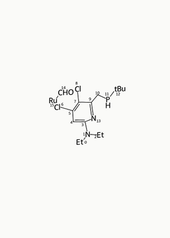 CCN(CC)c1cc(Cl)c(Cl)c(CPC(C)(C)C)n1.O=[CH][Ru]